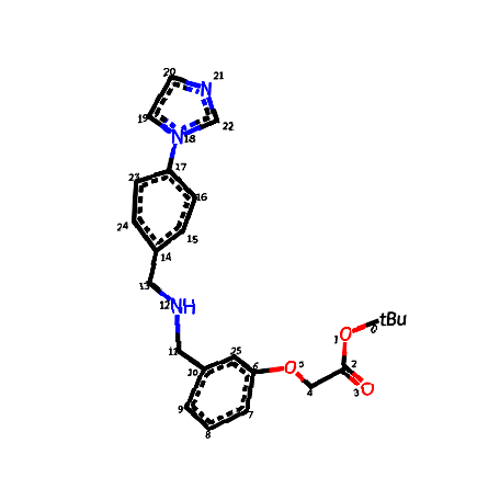 CC(C)(C)OC(=O)COc1cccc(CNCc2ccc(-n3ccnc3)cc2)c1